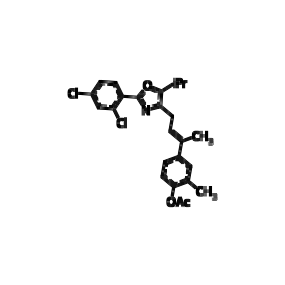 CC(=O)Oc1ccc(C(C)=CCc2nc(-c3ccc(Cl)cc3Cl)oc2C(C)C)cc1C